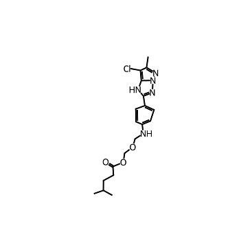 Cc1nn2nc(-c3ccc(NCOCOC(=O)CCC(C)C)cc3)[nH]c2c1Cl